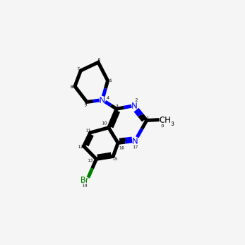 Cc1nc(N2CCCCC2)c2ccc(Br)cc2n1